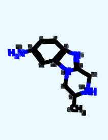 CC1Cn2c(nc3ccc(N)cc32)CN1